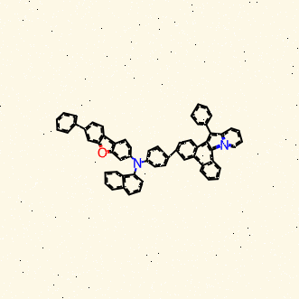 c1ccc(-c2ccc3c(c2)oc2cc(N(c4ccc(-c5ccc6c(c5)c5ccccc5c5c6c(-c6ccccc6)c6ccccn65)cc4)c4cccc5ccccc45)ccc23)cc1